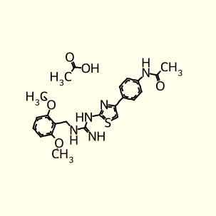 CC(=O)O.COc1cccc(OC)c1CNC(=N)Nc1nc(-c2ccc(NC(C)=O)cc2)cs1